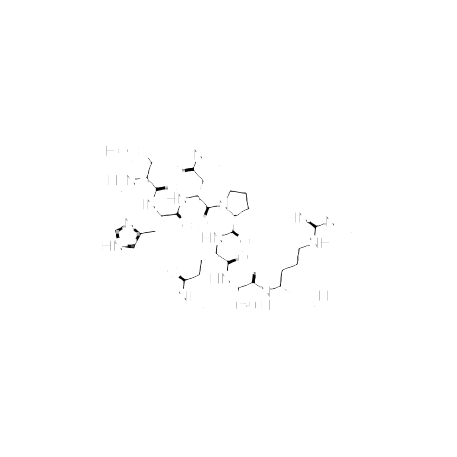 CC[C@H](C)[C@H](NC(=O)[C@H](CCC(N)=O)NC(=O)[C@@H]1CCCN1C(=O)[C@H](CC(N)=O)NC(=O)[C@H](Cc1c[nH]cn1)NC(=O)[C@@H](N)CC(=O)O)C(=O)N[C@@H](CCCNC(=N)N)C(=O)O